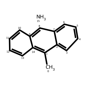 Cc1c2ccccc2cc2ccccc12.N